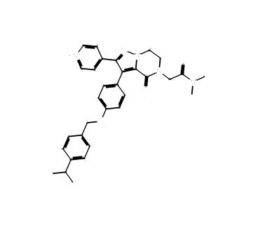 CC(C)c1ccc(COc2ccc(-c3c(-c4ccncc4)nn4c3C(=O)N(CC(=O)N(C)C)CC4)cc2)cc1